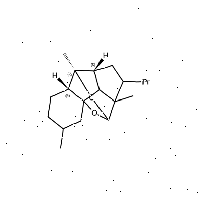 CC1CC[C@H]2C3(C1)OC1C[C@]2(C)[C@@H]2CC(C(C)C)C1(C)C23